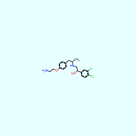 C[C@H](Cc1ccc(OCCN)cc1)NC[C@H](O)c1ccc(Cl)c(Cl)c1